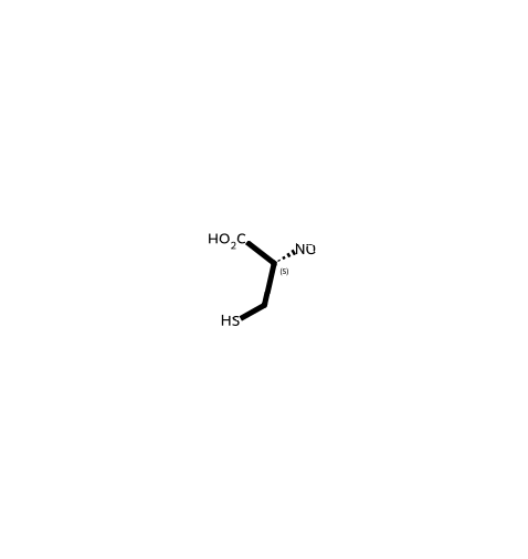 O=N[C@H](CS)C(=O)O